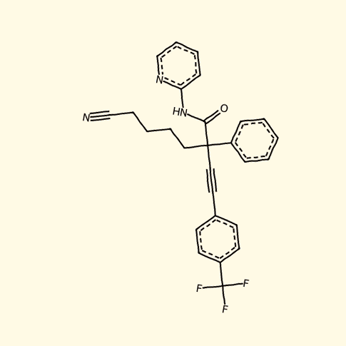 N#CCCCCC(C#Cc1ccc(C(F)(F)F)cc1)(C(=O)Nc1ccccn1)c1ccccc1